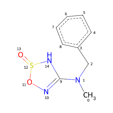 CN(Cc1ccccc1)C1=NOS(=O)N1